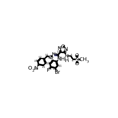 CS(=O)(=O)CCNc1nonc1/C(=N/OCc1ccc([N+](=O)[O-])cc1)Nc1ccc(F)c(Br)c1